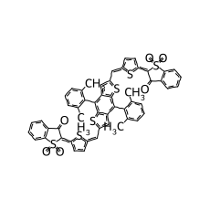 Cc1cccc(C)c1-c1c2cc(/C=c3/cc/c(=C4/C(=O)c5ccccc5S4(=O)=O)s3)sc2c(-c2c(C)cccc2C)c2cc(/C=c3/cc/c(=C4/C(=O)c5ccccc5S4(=O)=O)s3)sc12